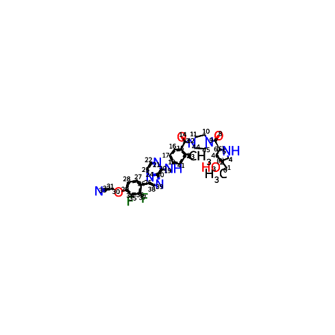 CC[C@]1(O)CN[C@H](C(=O)N2CCN(C(=O)c3ccc(Nc4nccn5c(-c6ccc(OCC#N)c(F)c6F)cnc45)cc3C)CC2)C1